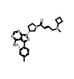 Cc1ccc(-c2nn([C@@H]3CCN(C(=O)C=CCN(C)C4CCC4)C3)c3ncnc(N)c23)cc1